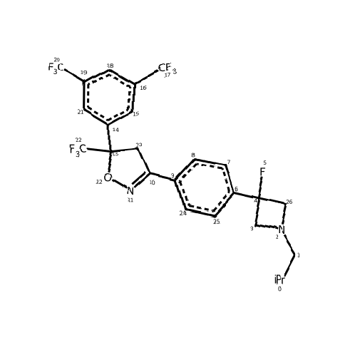 CC(C)CN1CC(F)(c2ccc(C3=NOC(c4cc(C(F)(F)F)cc(C(F)(F)F)c4)(C(F)(F)F)C3)cc2)C1